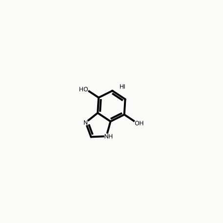 I.Oc1ccc(O)c2[nH]cnc12